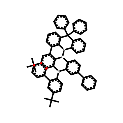 CC(C)(C)c1ccc(N2c3cc(-c4ccccc4)ccc3B3c4c(cc(C(C)(C)C)cc42)-c2cccc4c2N3c2ccccc2C4(c2ccccc2)c2ccccc2)c(-c2ccccc2)c1